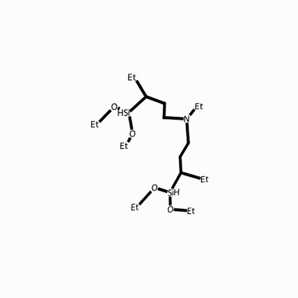 CCO[SiH](OCC)C(CC)CCN(CC)CCC(CC)[SiH](OCC)OCC